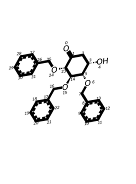 O=C1C[C@H](O)[C@H](OCc2ccccc2)[C@@H](OCc2ccccc2)[C@@H]1OCc1ccccc1